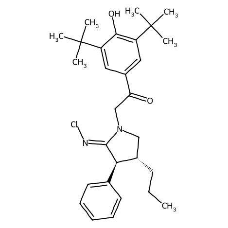 CCC[C@H]1CN(CC(=O)c2cc(C(C)(C)C)c(O)c(C(C)(C)C)c2)/C(=N\Cl)[C@@H]1c1ccccc1